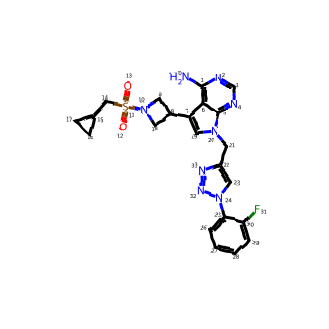 Nc1ncnc2c1c(C1CN(S(=O)(=O)CC3CC3)C1)cn2Cc1cn(-c2ccccc2F)nn1